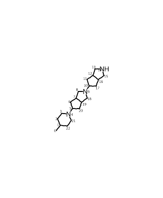 CC1CCN(C2CC3CN(C4CC5CNCC5C4)CC3C2)CC1